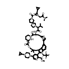 CO[C@@H](C)c1ncc(N2CCN(C3CC3)CC2)cc1-c1c2c3cc(ccc3n1CC(F)(F)F)-c1csc(n1)C[C@H](NC(=O)C(C(C)C)N1CC[C@]3(CCN(C(=O)[C@H]4C(C5CC5)N4CC(=O)N(C)C)C3)C1)C(=O)N1CCC[C@H](N1)C(=O)OCC(C)(C)C2